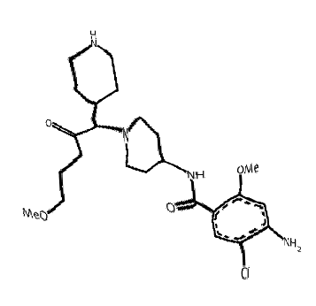 COCCCC(=O)C(C1CCNCC1)N1CCC(NC(=O)c2cc(Cl)c(N)cc2OC)CC1